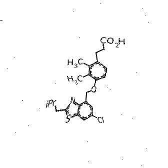 Cc1c(CCC(=O)O)ccc(OCc2cc(Cl)cc3sc(CC(C)C)nc23)c1C